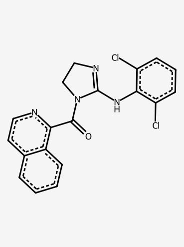 O=C(c1nccc2ccccc12)N1CCN=C1Nc1c(Cl)cccc1Cl